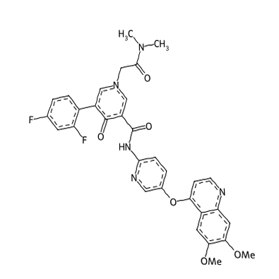 COc1cc2nccc(Oc3ccc(NC(=O)c4cn(CC(=O)N(C)C)cc(-c5ccc(F)cc5F)c4=O)nc3)c2cc1OC